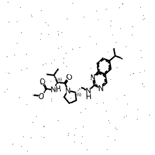 COC(=O)N[C@H](C(=O)N1CCC[C@H]1CNc1ncc2cc(C(C)C)ccc2n1)C(C)C